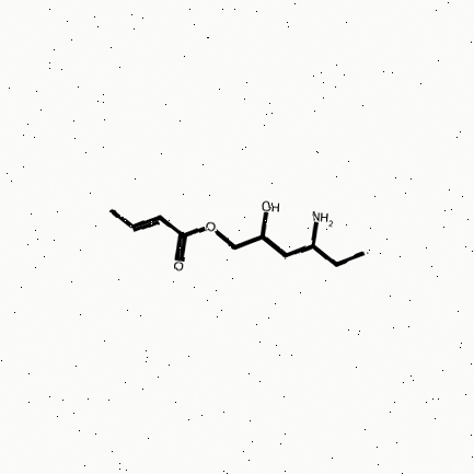 [CH2]CC(N)CC(O)COC(=O)C=CC